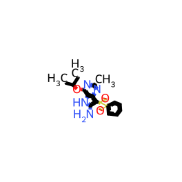 CCC(CC)Oc1nc(C)nc2c(S(=O)(=O)c3ccccc3)c(N)[nH]c12